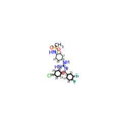 CS(=O)(=O)N[C@H]1CC[C@H](N/C(=N/C(=O)c2ccc(F)c(F)c2)Nc2cccc(Cl)c2)CC1